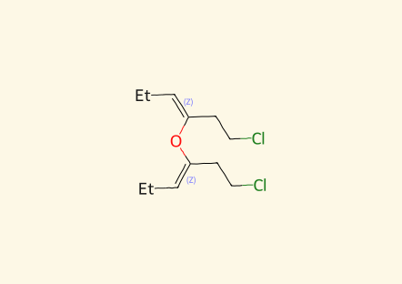 CC/C=C(/CCCl)O/C(=C\CC)CCCl